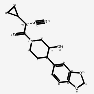 N#C[C@H](C(=O)N1CCC(c2ccc3c(c2)OCO3)C(O)C1)C1CC1